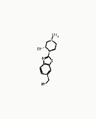 CC[C@@H]1CN(C)CC[C@H]1c1nc2ccc(CC(C)C)cc2s1